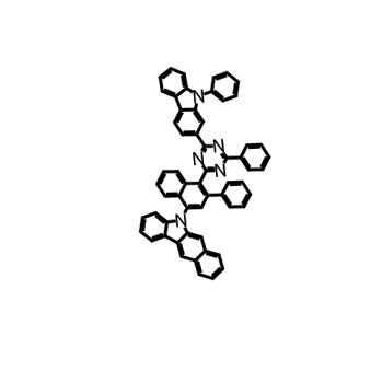 c1ccc(-c2nc(-c3ccc4c5ccccc5n(-c5ccccc5)c4c3)nc(-c3c(-c4ccccc4)cc(-n4c5ccccc5c5cc6ccccc6cc54)c4ccccc34)n2)cc1